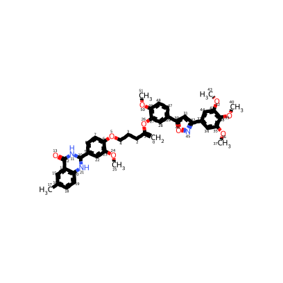 C=C(CCCOc1ccc(C2NC(=O)c3cc(C)ccc3N2)cc1OC)Oc1cc(-c2cc(-c3cc(OC)c(OC)c(OC)c3)no2)ccc1OC